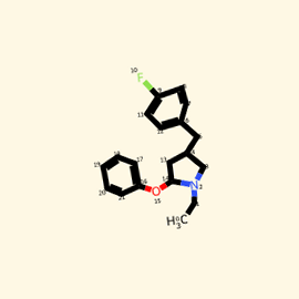 CCN1CC(Cc2ccc(F)cc2)CC1Oc1ccccc1